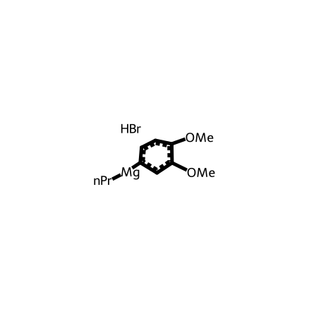 Br.CC[CH2][Mg][c]1ccc(OC)c(OC)c1